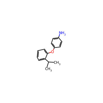 CC(C)c1ccccc1Oc1ccc(N)cc1